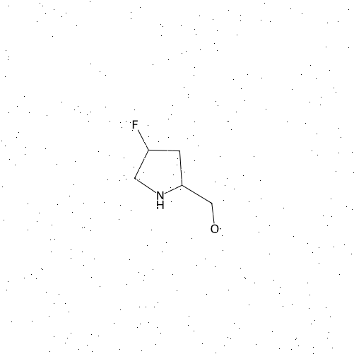 [O]CC1CC(F)CN1